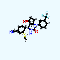 CCSc1cc(C#N)ccc1[C@@H]1NC(=O)N(c2cccc(C(F)(F)F)c2)C2=C1C(=O)CC2